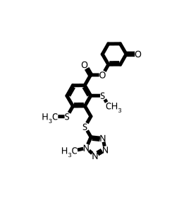 CSc1ccc(C(=O)OC2=CC(=O)CCC2)c(SC)c1CSc1nnnn1C